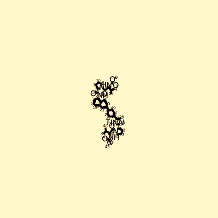 COC(=O)N[C@H](C(=O)N1CCC[C@H]1C(=O)Nc1cccc2cc(-c3ccc(-c4cnc([C@@H]5CCCN5C(=O)[C@@H](NC(=O)OC)C(C)C)[nH]4)cc3)ccc12)C(C)C